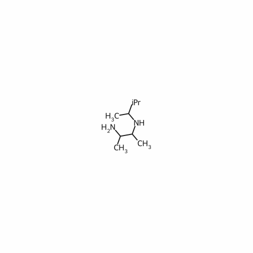 CC(C)C(C)NC(C)C(C)N